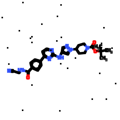 CC(C)(C)OC(=O)N1CCC(n2cc(Nc3nccc(-c4ccc(C(=O)NCC#N)cc4)n3)cn2)CC1